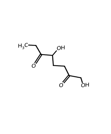 CCC(=O)C(O)CCC(=O)CO